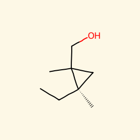 CC[C@]1(C)CC1(C)CO